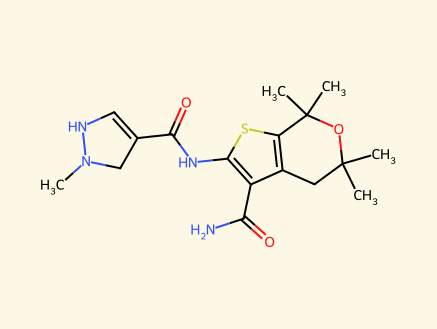 CN1CC(C(=O)Nc2sc3c(c2C(N)=O)CC(C)(C)OC3(C)C)=CN1